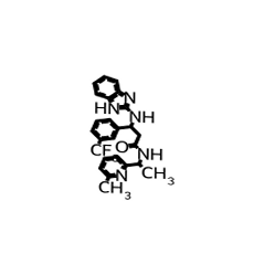 Cc1cccc(C(C)NC(=O)CC(Nc2nc3ccccc3[nH]2)c2cccc(C(F)(F)F)c2)n1